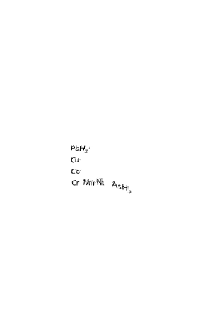 [AsH3].[Co].[Cr].[Cu].[Mn].[Ni].[PbH2]